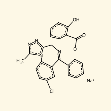 Cc1nnc2n1-c1ccc(Cl)cc1C(c1ccccc1)=NC2.O=C([O-])c1ccccc1O.[Na+]